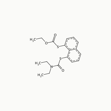 CCOC(=O)Sc1cccc2cccc(SC(=O)N(CC)CC)c12